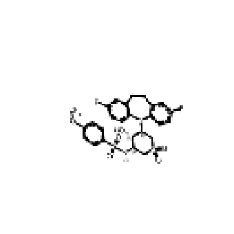 O=S1(=O)C[C@@H](NS(=O)(=O)c2ccc(OC(F)(F)F)cc2)[C@H](O)[C@@H](N2c3ccc(F)cc3CCc3cc(F)ccc32)C1